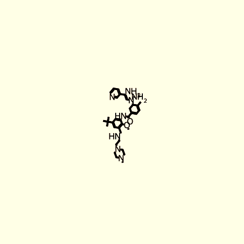 COc1c(CNCCN2CCN(C)CC2)cc(C(C)(C)C)cc1NC(=O)C1=CC=C(C)C(N(N)/C=C(\N)c2cccnc2)C1